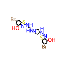 Oc1cc(Br)cc2sc(NCCNN3CCC(Nc4nc5c(O)cc(Br)cc5s4)CC3)nc12